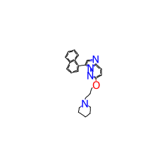 c1ccc2c(-c3cnc4ccc(OCCCN5CCCCC5)nn34)cccc2c1